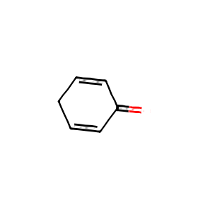 O=C1[C]=CCC=C1